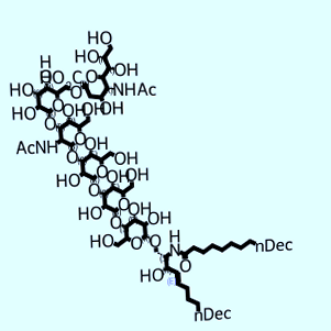 CCCCCCCCCCCCC/C=C/[C@@H](O)[C@H](CO[C@@H]1OC(CO)[C@@H](O[C@@H]2OC(CO)[C@H](O)[C@H](O[C@H]3OC(CO)[C@H](O)[C@H](O[C@@H]4OC(CO)[C@H](O)[C@H](O[C@@H]5OC(CO[C@]6(C(=O)O)CC(O)[C@@H](NC(C)=O)C([C@H](O)[C@H](O)CO)O6)[C@H](O)[C@H](O)C5O)C4NC(C)=O)C3O)C2O)[C@H](O)C1O)NC(=O)CCCCCCCCCCCCCCCCC